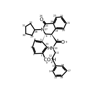 O=C(O)c1cccc([C@H]2[C@H](C(=O)NCCc3ccccc3)c3ccccc3C(=O)N2C2CCCC2)c1